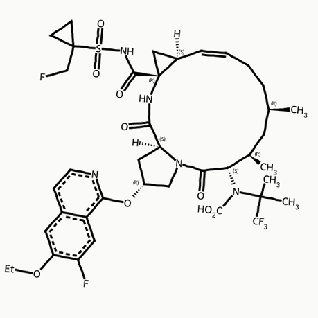 CCOc1cc2ccnc(O[C@@H]3C[C@H]4C(=O)N[C@]5(C(=O)NS(=O)(=O)C6(CF)CC6)C[C@H]5C=CCC[C@@H](C)C[C@@H](C)[C@H](N(C(=O)O)C(C)(C)C(F)(F)F)C(=O)N4C3)c2cc1F